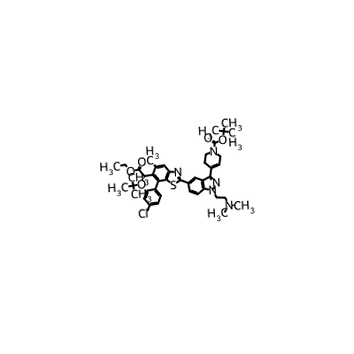 CCOC(=O)[C@@H](OC(C)(C)C)c1c(C)cc2nc(-c3ccc4c(c3)c(C3=CCN(C(=O)OC(C)(C)C)CC3)nn4CCN(C)C)sc2c1-c1ccc(Cl)cc1